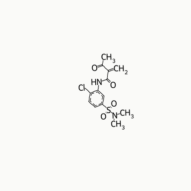 C=C(C(C)=O)C(=O)Nc1cc(S(=O)(=O)N(C)C)ccc1Cl